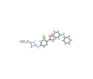 O=C(O)C1CN(Cc2ccc(-c3cc4cc(Cc5ccccc5)ccc4o3)c(Cl)c2)C1